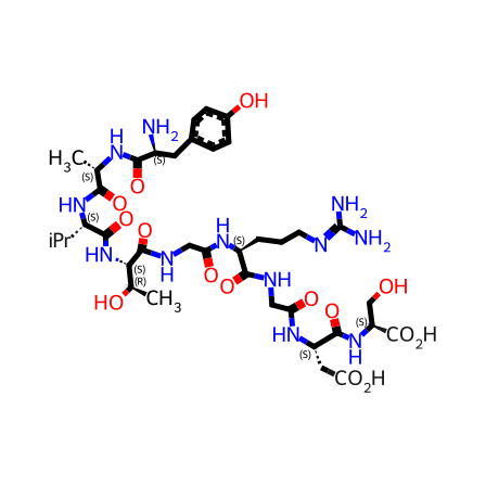 CC(C)[C@H](NC(=O)[C@H](C)NC(=O)[C@@H](N)Cc1ccc(O)cc1)C(=O)N[C@H](C(=O)NCC(=O)N[C@@H](CCCN=C(N)N)C(=O)NCC(=O)N[C@@H](CC(=O)O)C(=O)N[C@@H](CO)C(=O)O)[C@@H](C)O